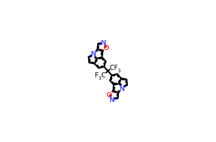 FC(F)(F)C(c1cc2ccn3c4cnoc4c(c1)c23)(c1cc2ccn3c4cnoc4c(c1)c23)C(F)(F)F